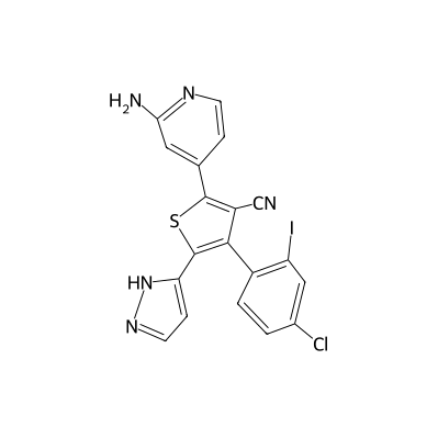 N#Cc1c(-c2ccnc(N)c2)sc(-c2ccn[nH]2)c1-c1ccc(Cl)cc1I